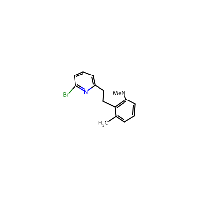 CNc1cccc(C)c1CCc1cccc(Br)n1